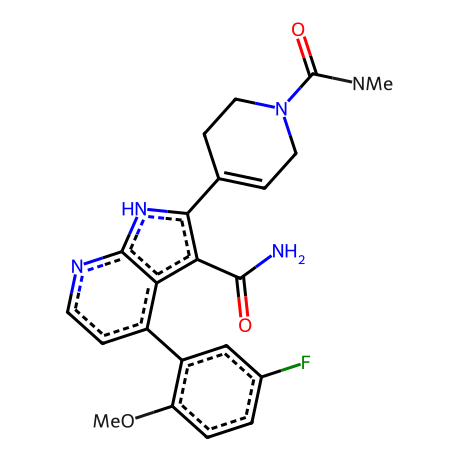 CNC(=O)N1CC=C(c2[nH]c3nccc(-c4cc(F)ccc4OC)c3c2C(N)=O)CC1